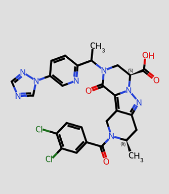 CC(c1ccc(-n2cncn2)cn1)N1C[C@@H](C(=O)O)n2nc3c(c2C1=O)CN(C(=O)c1ccc(Cl)c(Cl)c1)[C@H](C)C3